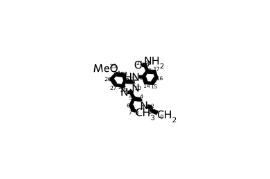 C=C/C=N/C=C(\C=C/C)c1nc(Nc2ccccc2C(N)=O)c2cc(OC)ccc2n1